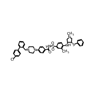 Cc1cc(S(=O)(=O)NC(=O)c2ccc(N3CCN(Cc4ccccc4-c4ccc(Cl)cc4)CC3)cc2)ccc1NC1CN(C)CC1Sc1ccccc1